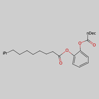 CCCCCCCCCCC(=O)Oc1ccccc1OC(=O)CCCCCCCC(C)C